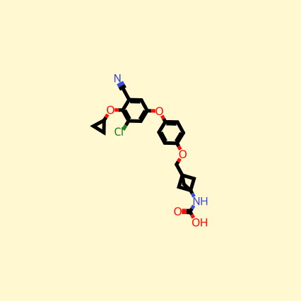 N#Cc1cc(Oc2ccc(OCC34CC(NC(=O)O)(C3)C4)cc2)cc(Cl)c1OC1CC1